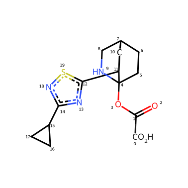 O=C(O)C(=O)OC12CCC(CN1)CC2c1nc(C2CC2)ns1